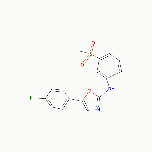 CS(=O)(=O)c1cccc(Nc2ncc(-c3ccc(F)cc3)o2)c1